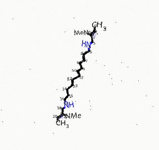 C/C=C(/CNCCCCCCCCCCCCNC/C(=C/C)NC)NC